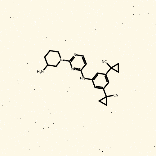 N#CC1(c2cc(Nc3ccnc(N4CCCC(N)C4)n3)cc(C3(C#N)CC3)c2)CC1